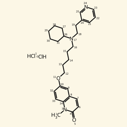 Cl.Cl.Cn1c(=O)ccc2cc(OCCCCCN(CCc3cccnc3)C3CCCCC3)ccc21